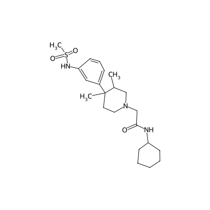 CC1CN(CC(=O)NC2CCCCC2)CCC1(C)c1cccc(NS(C)(=O)=O)c1